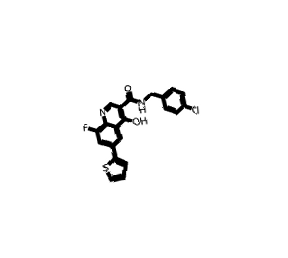 O=C(NCc1ccc(Cl)cc1)c1cnc2c(F)cc(-c3cccs3)cc2c1O